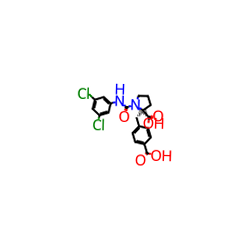 O=C(O)c1ccc(C[C@@]2(C(=O)O)CCCN2C(=O)Nc2cc(Cl)cc(Cl)c2)cc1